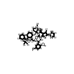 COc1ccc(F)cc1[C@H](Cn1c(=O)n([C@]2(C)CCN(C)C2=O)c(=O)c2c(C)c(-n3nccn3)sc21)OCCO[Si](c1ccccc1)(c1ccccc1)C(C)(C)C